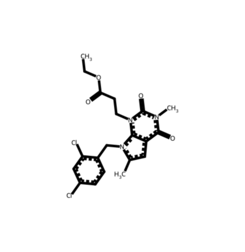 CCOC(=O)CCn1c(=O)n(C)c(=O)c2cc(C)n(Cc3ccc(Cl)cc3Cl)c21